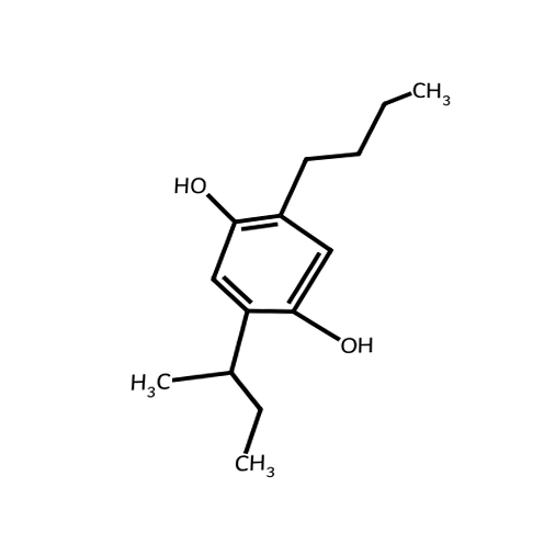 CCCCc1cc(O)c(C(C)CC)cc1O